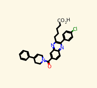 O=C(O)CCCCc1nc2cc(C(=O)N3CC=C(c4ccccc4)CC3)ccc2nc1-c1ccc(Cl)cc1